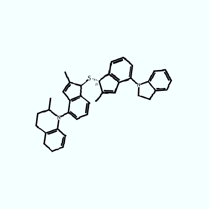 CC1=Cc2c(cccc2N2C3=C(CCC=C3)CCC2C)C1S[C@H]1C(C)=Cc2c1cccc2N1CCc2ccccc21